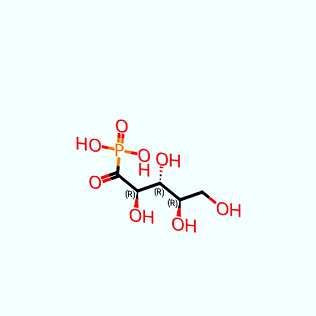 O=C([C@H](O)[C@H](O)[C@H](O)CO)P(=O)(O)O